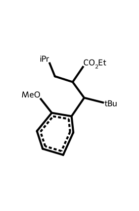 CCOC(=O)C(CC(C)C)C(c1ccccc1OC)C(C)(C)C